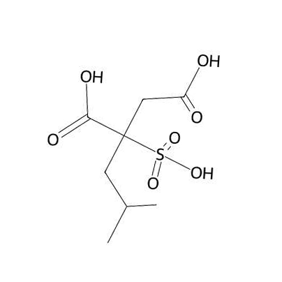 CC(C)CC(CC(=O)O)(C(=O)O)S(=O)(=O)O